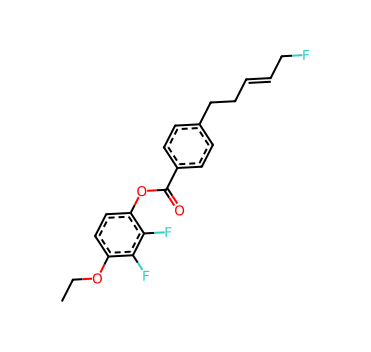 CCOc1ccc(OC(=O)c2ccc(CCC=CCF)cc2)c(F)c1F